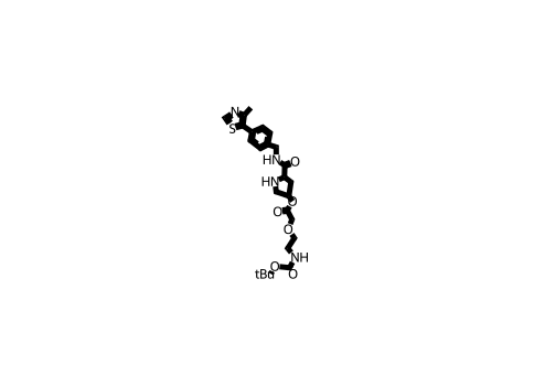 Cc1ncsc1-c1ccc(CNC(=O)C2CC(OC(=O)COCCNC(=O)OC(C)(C)C)CN2)cc1